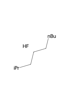 CCCCCCCC(C)C.F